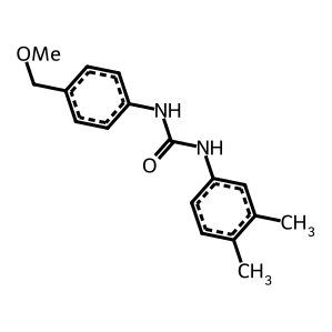 COCc1ccc(NC(=O)Nc2ccc(C)c(C)c2)cc1